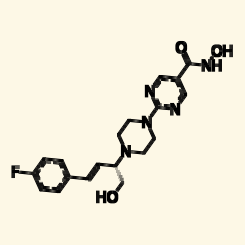 O=C(NO)c1cnc(N2CCN([C@@H](/C=C/c3ccc(F)cc3)CO)CC2)nc1